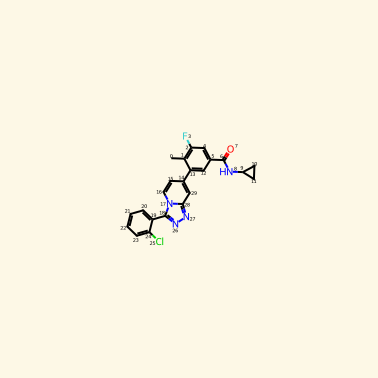 Cc1c(F)cc(C(=O)NC2CC2)cc1-c1ccn2c(-c3ccccc3Cl)nnc2c1